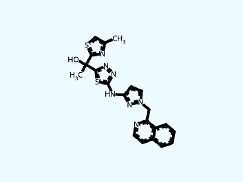 Cc1csc(C(C)(O)c2nnc(Nc3ccn(Cc4nccc5ccccc45)n3)s2)n1